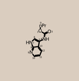 CCCOC(=O)Nc1c[nH]c2ncccc12